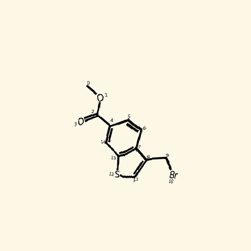 COC(=O)c1ccc2c(CBr)csc2c1